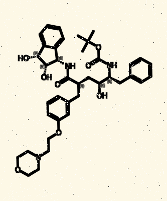 CC(C)(C)OC(=O)N[C@@H](Cc1ccccc1)[C@@H](O)C[C@@H](Cc1cccc(OCCN2CCOCC2)c1)C(=O)N[C@H]1c2ccccc2[C@@H](O)[C@H]1O